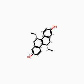 CC[C@H]1Cc2cc(O)ccc2C2=C1c1ccc(O)cc1C[C@@H]2CC